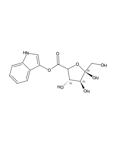 O=C(Oc1c[nH]c2ccccc12)C1O[C@](O)(CO)[C@@H](O)[C@@H]1O